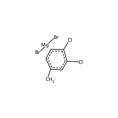 [Br][Mg][Br].[CH2]c1ccc(Cl)c(Cl)c1